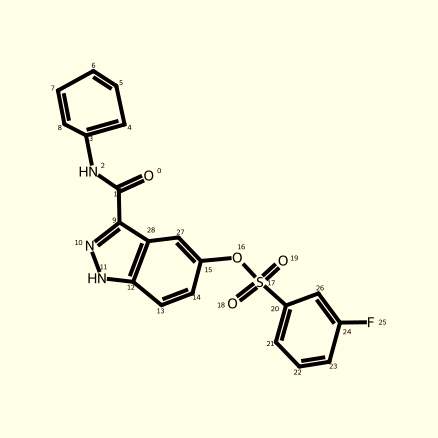 O=C(Nc1ccccc1)c1n[nH]c2ccc(OS(=O)(=O)c3cccc(F)c3)cc12